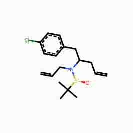 C=CCC(Cc1ccc(Cl)cc1)N(CC=C)[S@@+]([O-])C(C)(C)C